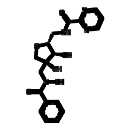 O=C(NC[C@H]1OC[C@@](O)(CN(O)C(=O)c2ccccc2)[C@@H]1O)c1ncccn1